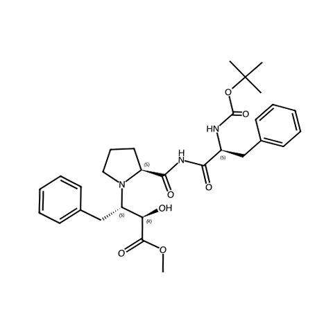 COC(=O)[C@H](O)[C@H](Cc1ccccc1)N1CCC[C@H]1C(=O)NC(=O)[C@H](Cc1ccccc1)NC(=O)OC(C)(C)C